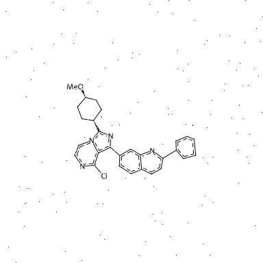 CO[C@H]1CC[C@@H](c2nc(-c3ccc4ccc(-c5ccccc5)nc4c3)c3c(Cl)nccn32)CC1